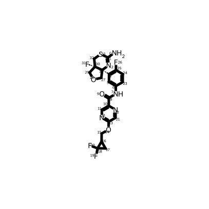 NC1=N[C@@]2(c3cc(NC(=O)c4cnc(OCC5CC5(F)F)cn4)ccc3F)COC[C@@]2(F)CS1